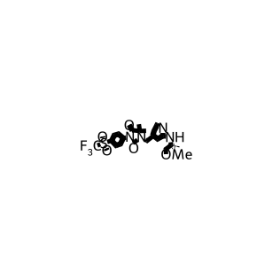 COC[C@@H](C)Nc1cc(CN2C(=O)N(c3ccc(S(=O)(=O)C(F)(F)F)cc3)C(=O)C2(C)C)ccn1